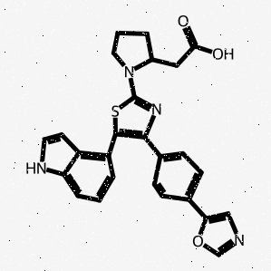 O=C(O)CC1CCCN1c1nc(-c2ccc(-c3cnco3)cc2)c(-c2cccc3[nH]ccc23)s1